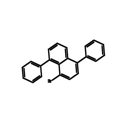 Brc1ccc(-c2ccccc2)c2cccc(-c3ccccc3)c12